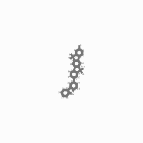 Cc1ccc2c(c1)C(C)(C)c1cc3c(cc1-2)C(C)(C)c1cc(-c2ccc4oc5ccccc5c4c2)ccc1-3